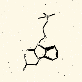 C[Si](C)(C)CCOCn1c(=O)n(CC(F)F)c2ccccc21